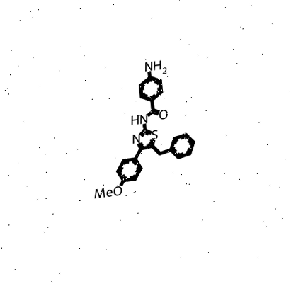 COc1ccc(-c2nc(NC(=O)c3ccc(N)cc3)sc2Cc2ccccc2)cc1